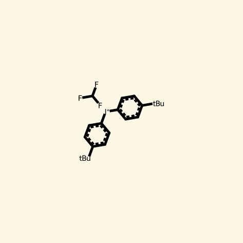 CC(C)(C)c1ccc([I+]c2ccc(C(C)(C)C)cc2)cc1.FC(F)F